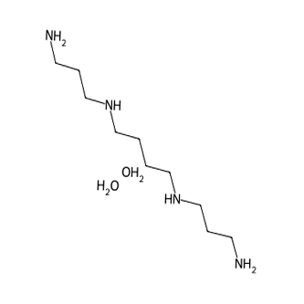 NCCCNCCCCNCCCN.O.O